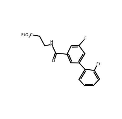 CCOC(=O)CCNC(=O)c1cc(F)cc(-c2ccccc2CC)c1